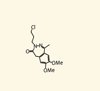 COc1cc2c(cc1OC)C(C)=NN(CCCCl)C(=O)C2